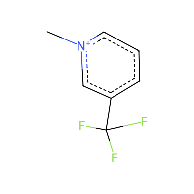 C[n+]1cccc(C(F)(F)F)c1